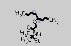 C=C/C=C\C(=C/C=C)OCC(=O)NC(C)(C)CC